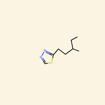 CCC(C)CCc1nncs1